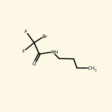 CCCCNC(=O)C(F)(F)Br